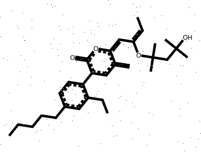 C=c1cc(-c2ccc(CCCCC)cc2CC)c(=O)o/c1=C/C(=C\C)OC(C)(C)CC(C)(C)O